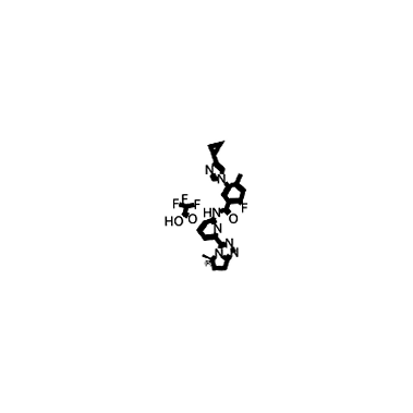 Cc1cc(F)c(C(=O)Nc2cccc(-c3nnc4n3[C@H](C)CC4)n2)cc1-n1cnc(C2CC2)c1.O=C(O)C(F)(F)F